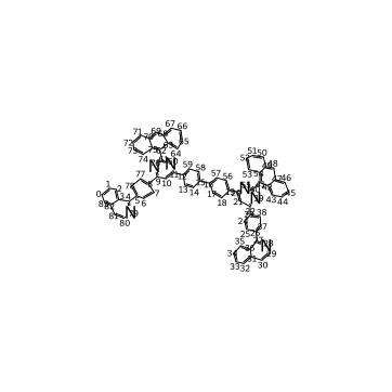 c1ccc2c(-c3ccc(-c4cc(-c5ccc(-c6ccc(-c7cc(-c8ccc(-c9nccc%10ccccc9%10)cc8)nc(-c8c9ccccc9cc9ccccc89)n7)cc6)cc5)nc(-c5c6ccccc6cc6ccccc56)n4)cc3)nccc2c1